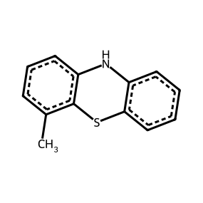 Cc1cccc2c1Sc1ccccc1N2